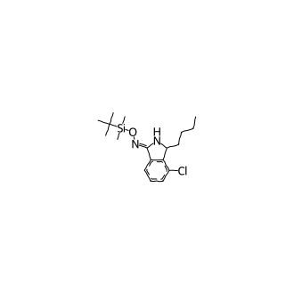 CCCCC1NC(=NO[Si](C)(C)C(C)(C)C)c2cccc(Cl)c21